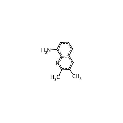 Cc1cc2cccc(N)c2nc1C